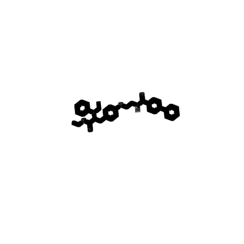 CCOC(=O)C(Cc1ccc(OCCNC(=O)c2ccc(-c3ccccc3)cc2)cc1)N(CC)c1ccccc1